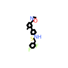 Cc1ccc(-c2ncco2)cc1-c1ccc(NC(=S)Cc2ccc(F)cc2F)cc1